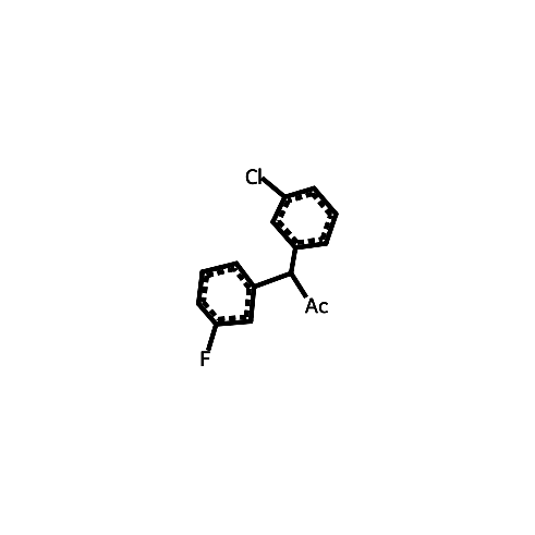 CC(=O)C(c1cccc(F)c1)c1cccc(Cl)c1